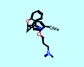 COc1ccc(C23CC2C(=NOCCCN(C)C)c2ccccc2O3)cc1